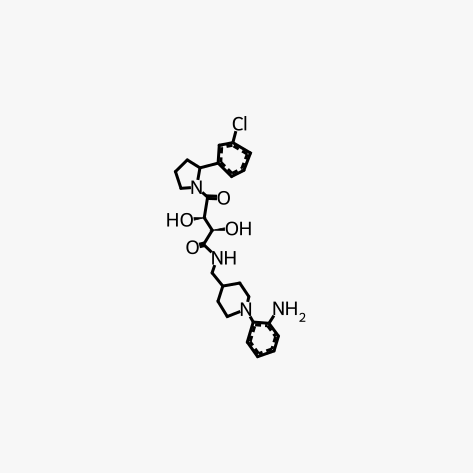 Nc1ccccc1N1CCC(CNC(=O)[C@H](O)[C@@H](O)C(=O)N2CCCC2c2cccc(Cl)c2)CC1